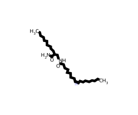 CCCCCCCC/C=C\CCCCCCCC(=O)NCCC(CCCCCCCCCC)C(N)=O